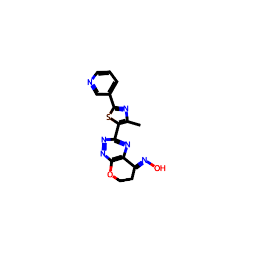 Cc1nc(-c2cccnc2)sc1-c1nnc2c(n1)/C(=N/O)CCO2